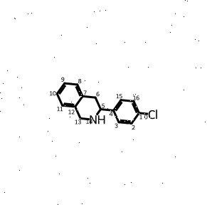 Clc1ccc(C2Cc3ccccc3CN2)cc1